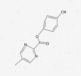 Cc1cnc(C(=O)Oc2ccc(C#N)cc2)nc1